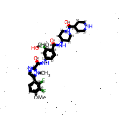 COc1ccc(-c2cnc(C(=O)Nc3ccc(C(=O)NC4CCN(C(=O)C5CCNCC5)CC4)c(Cl)c3)n2C)c(F)c1F.O=CO